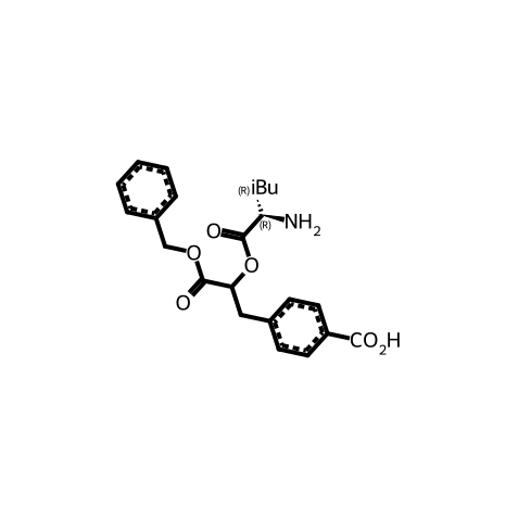 CC[C@@H](C)[C@@H](N)C(=O)OC(Cc1ccc(C(=O)O)cc1)C(=O)OCc1ccccc1